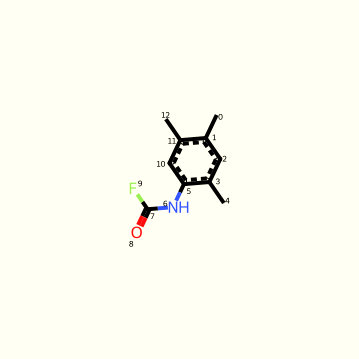 Cc1cc(C)c(NC(=O)F)cc1C